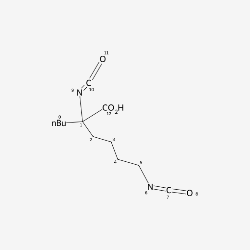 CCCCC(CCCCN=C=O)(N=C=O)C(=O)O